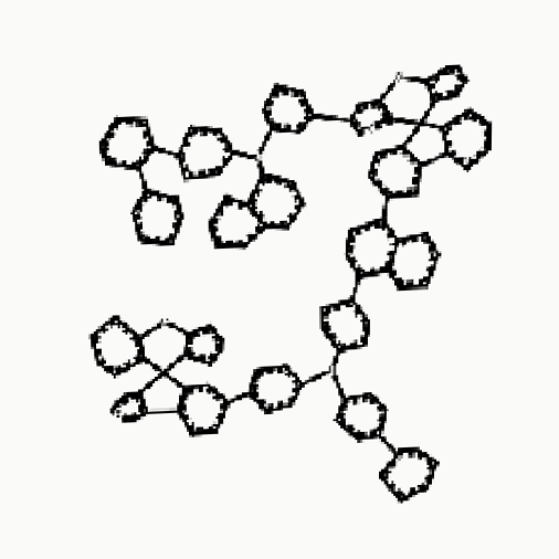 c1ccc(-c2ccc(N(c3ccc(-c4ccc5c(c4)C4(c6ccccc6Oc6ccccc64)c4ccccc4-5)cc3)c3ccc(-c4ccc(-c5ccc6c(c5)-c5ccccc5C65c6ccccc6Oc6cc(-c7cccc(N(c8ccc(-c9ccccc9-c9ccccc9)cc8)c8cccc9ccccc89)c7)ccc65)c5ccccc45)cc3)cc2)cc1